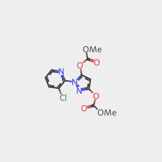 COC(=O)Oc1cc(OC(=O)OC)n(-c2ncccc2Cl)n1